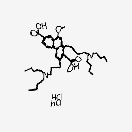 CCCCN(CCCC)CCCc1cc2c(cc(OC)c3cc(C(=O)O)ccc32)c(CCCN(CCCC)CCCC)c1C(=O)O.Cl.Cl